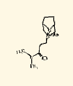 CNN1C2CCC1CN(CCC(=O)N(C)C)C2